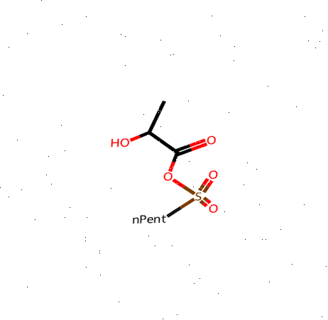 CCCCCS(=O)(=O)OC(=O)C(C)O